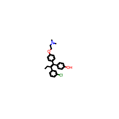 CCC(=C(c1ccc(O)cc1)c1ccc(OCCN(C)C)cc1)c1cccc(Cl)c1